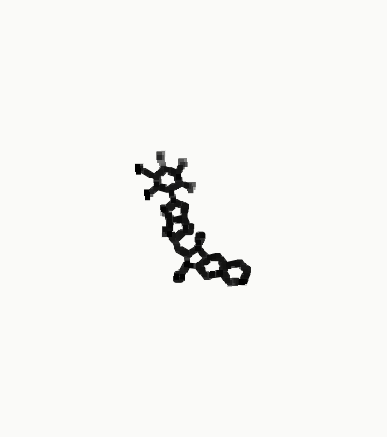 O=C1C(=Cc2nc3sc(-c4c(F)c(F)c(F)c(F)c4F)cc3o2)C(=O)c2cc3ccccc3cc21